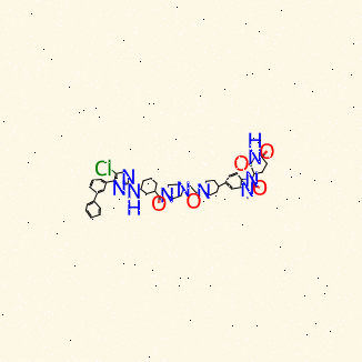 Cn1c(=O)n(C2CCC(=O)NC2=O)c2ccc(C3CCN(C(=O)CN4CCN(C(=O)C5CCCC(Nc6ncc(Cl)c(-c7cccc(-c8ccccc8)c7)n6)C5)CC4)CC3)cc21